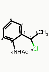 CC(=O)Nc1ccccc1C(C)Cl